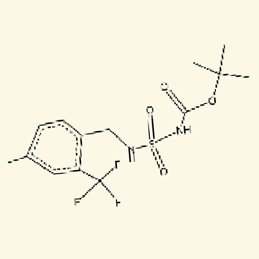 Cc1ccc(CNS(=O)(=O)NC(=O)OC(C)(C)C)c(C(F)(F)F)c1